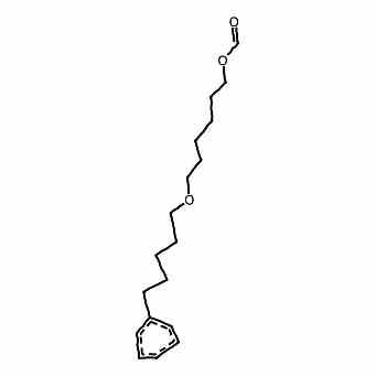 O=COCCCCCCOCCCCCc1ccccc1